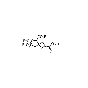 CCOC(=O)CC1(C(C(=O)OCC)C(=O)OCC)CN(C(=O)OC(C)(C)C)C1